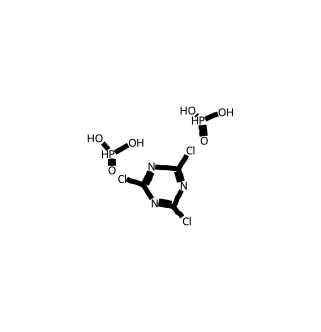 Clc1nc(Cl)nc(Cl)n1.O=[PH](O)O.O=[PH](O)O